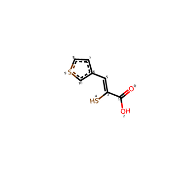 O=C(O)C(S)=Cc1ccsc1